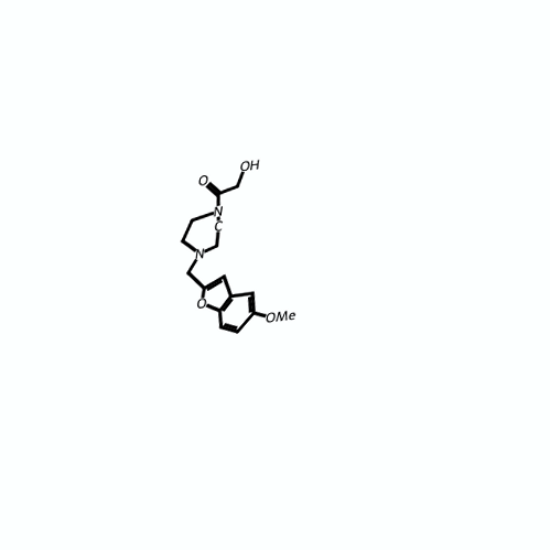 COc1ccc2oc(CN3CCN(C(=O)CO)CC3)cc2c1